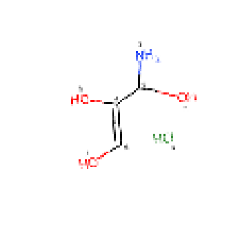 Cl.NC(O)C(O)=CO